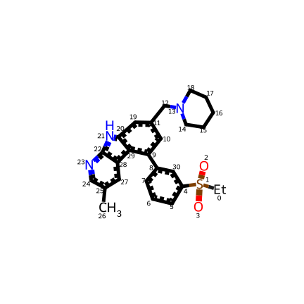 CCS(=O)(=O)c1cccc(-c2cc(CN3CCCCC3)cc3[nH]c4ncc(C)cc4c23)c1